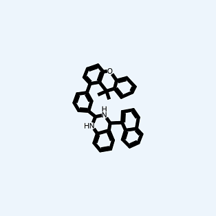 CC1(C)c2ccccc2Oc2cccc(-c3cccc(C4Nc5ccccc5C(c5cccc6ccccc56)N4)c3)c21